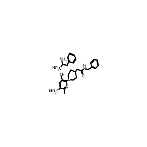 CCOC(=O)c1cc(C#N)c(N2CCC(CC(=O)NCc3ccccc3)CC2)nc1C.NC(Cc1ccccc1)C(=O)O